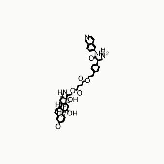 C[C@@H]1C[C@H]2[C@@H]3CCC4=CC(=O)C=C[C@]4(C)[C@@]3(F)[C@@H](O)C[C@]2(C)[C@@]1(O)C(=N)COC(=O)CCC(=O)OCCc1ccc(C(CN)C(=O)Nc2ccc3cnccc3c2)cc1